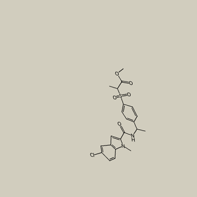 COC(=O)C(C)S(=O)(=O)c1ccc(C(C)NC(=O)c2cc3cc(Cl)ccc3n2C)cc1